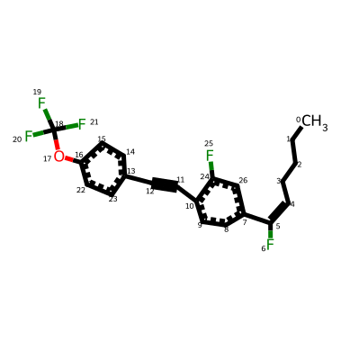 CCCC/C=C(/F)c1ccc(C#Cc2ccc(OC(F)(F)F)cc2)c(F)c1